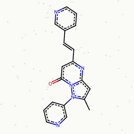 Cc1cc2nc(/C=C/c3cccnc3)cc(=O)n2n1-c1cccnc1